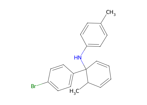 Cc1ccc(NC2(c3ccc(Br)cc3)C=CC=CC2C)cc1